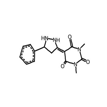 CN1C(=O)C(=C2CC(c3ccccc3)NN2)C(=O)N(C)C1=O